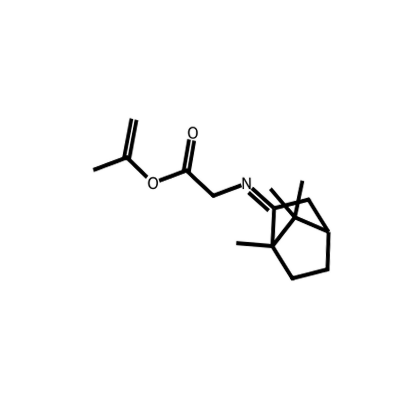 C=C(C)OC(=O)C/N=C1/CC2CCC1(C)C2(C)C